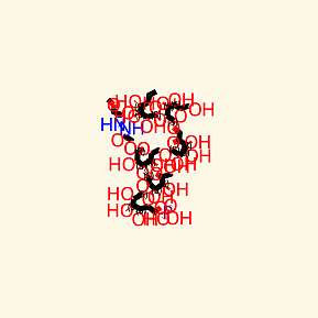 CCC1O[C@@H](OC2[C@@H](OCC3O[C@H](OCC4O[C@@H](OCC(=O)NNC(=O)COC)C(O)[C@@H](O[C@@H]5OC(CO)[C@@H](O)[C@H](O)C5O[C@H]5OC(COP(=O)(O)O)[C@@H](O)[C@H](O)C5O)[C@@H]4O)C(O)[C@@H](O)[C@@H]3O)OC(CO)[C@@H](O)[C@@H]2O)C(O)[C@@H](O)[C@@H]1O